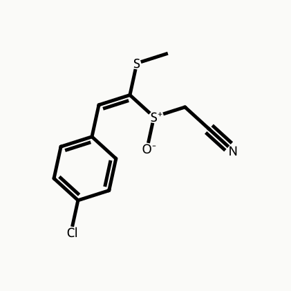 CSC(=Cc1ccc(Cl)cc1)[S+]([O-])CC#N